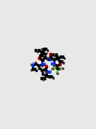 C/N=C\C(CC1CC(C)(C)NC1=O)NC(=O)C(CC(C)(C)C)NC(=O)C(NC(=O)C(F)(F)F)C(C)(C)C